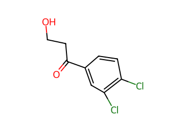 O=C(CCO)c1ccc(Cl)c(Cl)c1